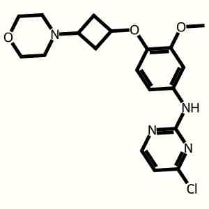 COc1cc(Nc2nccc(Cl)n2)ccc1OC1CC(N2CCOCC2)C1